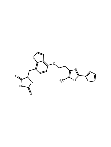 Cc1oc(-c2cccs2)nc1CCOc1ccc(CC2SC(=O)NC2=O)c2sccc12